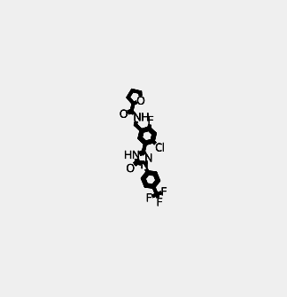 O=C(NCc1cc(-c2nn(-c3ccc(C(F)(F)F)cc3)c(=O)[nH]2)c(Cl)cc1F)C1CCCO1